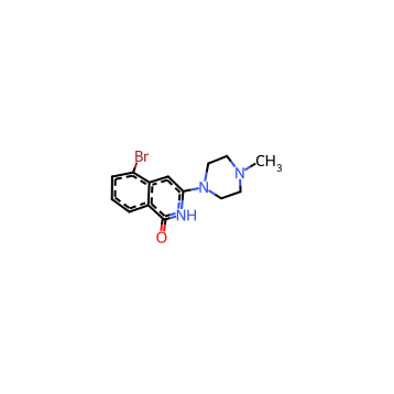 CN1CCN(c2cc3c(Br)cccc3c(=O)[nH]2)CC1